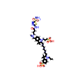 CCCN1/C(=C/C=C/C=C/C=C/C2=[N+](CCCS(=O)(=O)O)c3ccc(CN(C)CCCC(=O)Nc4nnc(S(N)(=O)=O)s4)cc3C2(C)C)C(C)(C)c2cc(S(=O)(=O)O)ccc21